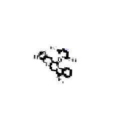 Cc1[nH]cnc1CC1CCc2c(C)c3ccccc3n2C1=O.O=C(O)/C=C\C(=O)O